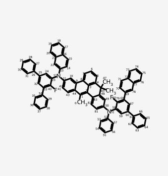 Cc1c2c3c(cccc3c3cc(N(c4ccc5ccccc5c4)c4cc(-c5ccccc5)cc(-c5ccccc5)c4F)ccc13)C(C)(C)c1cc(N(c3ccccc3)c3cc(-c4ccccc4)cc(-c4ccc5ccccc5c4)c3F)ccc1-2